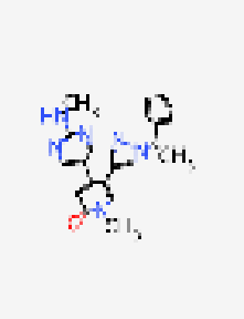 CNc1ncc(-c2cc(=O)n(C)cc2-c2cnn(C(C)c3ccccc3)c2)cn1